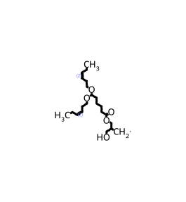 [CH2]C(CO)COC(=O)CCCCC(OCC/C=C\CC)OCC/C=C\CC